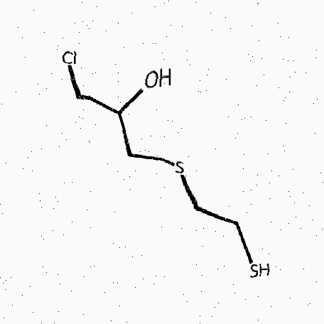 OC(CCl)CSCCS